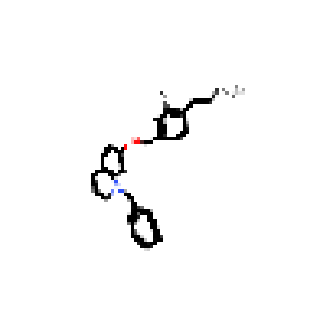 CCOC(=O)CCc1ccc(COc2ccc3c(c2)N(Cc2ccccc2)CCC3)cc1CC